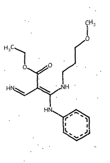 CCOC(=O)/C(C=N)=C(\NCCCOC)Nc1ccccc1